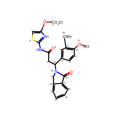 CCOC(=O)Oc1csc(NC(=O)CC(c2ccc(OCC)c(OC)c2)N2Cc3ccccc3C2=O)n1